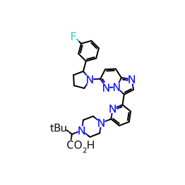 CC(C)(C)C(C(=O)O)N1CCN(c2cccc(-c3cnc4ccc(N5CCCC5c5cccc(F)c5)nn34)n2)CC1